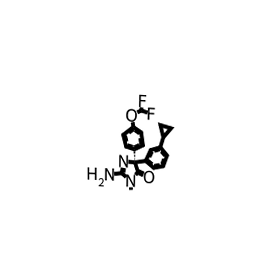 CN1C(=O)[C@](c2ccc(OC(F)F)cc2)(c2cccc(C3CC3)c2)N=C1N